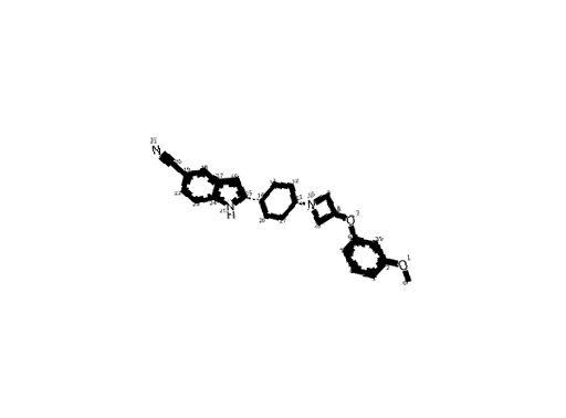 COc1cccc(OC2CN([C@H]3CC[C@@H](c4cc5cc(C#N)ccc5[nH]4)CC3)C2)c1